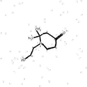 CC1(C)CC(=O)CCN1CCO